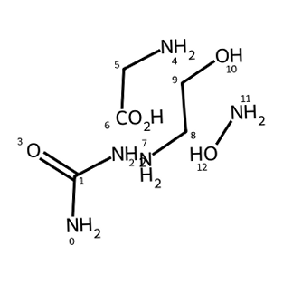 NC(N)=O.NCC(=O)O.NCCO.NO